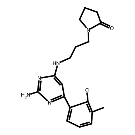 Cc1cccc(-c2cc(NCCCN3CCCC3=O)nc(N)n2)c1Cl